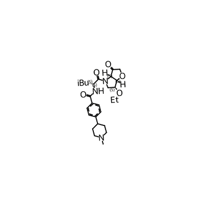 CCO[C@H]1CN(C(=O)[C@@H](NC(=O)c2ccc(C3CCN(C)CC3)cc2)[C@@H](C)CC)[C@@H]2C(=O)CO[C@H]12